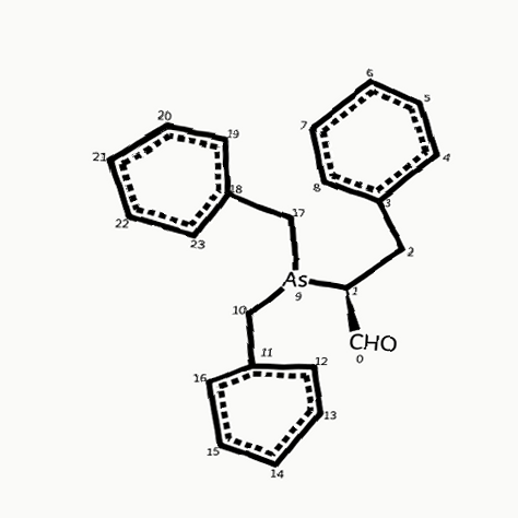 O=C[C@H](Cc1ccccc1)[As](Cc1ccccc1)Cc1ccccc1